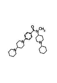 CN(C(=O)c1ccc(N2CCC(N3CCCCC3)CC2)cc1)C1CCN(C2CCCCC2)CC1